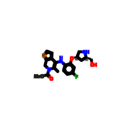 COC(=O)N1Cc2sccc2C(Nc2ccc(F)cc2O[C@@H]2CN[C@H](CO)C2)=C1C